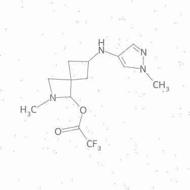 CN1CC2(CC(Nc3cnn(C)c3)C2)C1OC(=O)C(F)(F)F